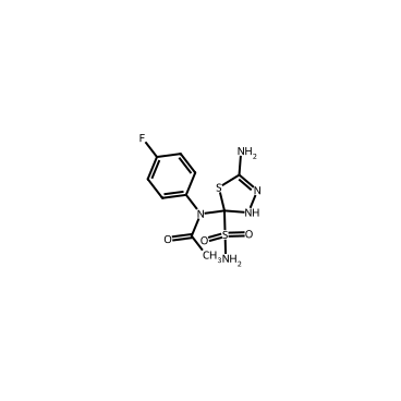 CC(=O)N(c1ccc(F)cc1)C1(S(N)(=O)=O)NN=C(N)S1